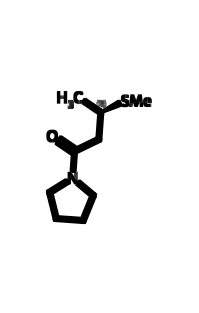 CS[C@H](C)CC(=O)N1CCCC1